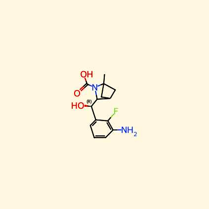 CC12CC(C1)C([C@H](O)c1cccc(N)c1F)N2C(=O)O